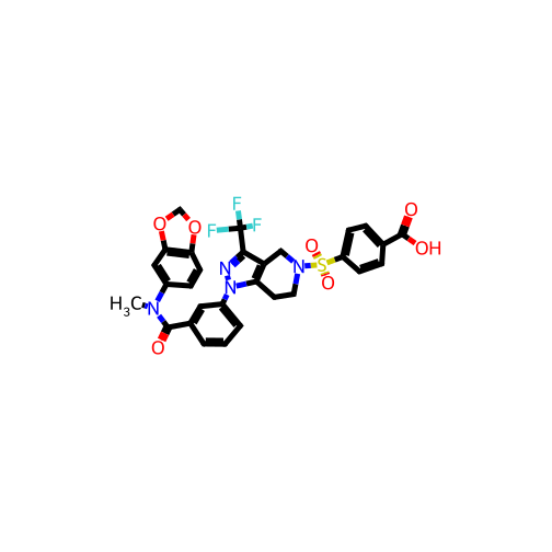 CN(C(=O)c1cccc(-n2nc(C(F)(F)F)c3c2CCN(S(=O)(=O)c2ccc(C(=O)O)cc2)C3)c1)c1ccc2c(c1)OCO2